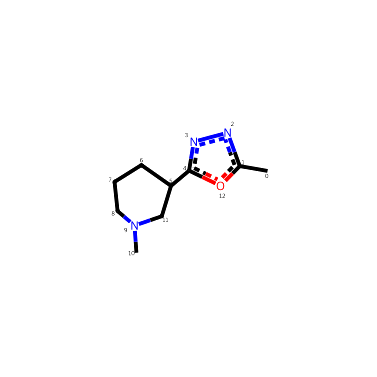 Cc1nnc(C2CCCN(C)C2)o1